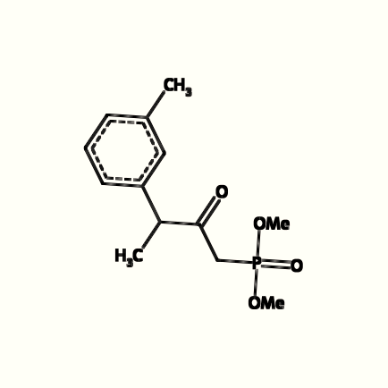 COP(=O)(CC(=O)C(C)c1cccc(C)c1)OC